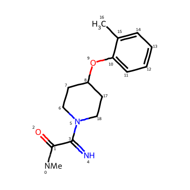 CNC(=O)C(=N)N1CCC(Oc2ccccc2C)CC1